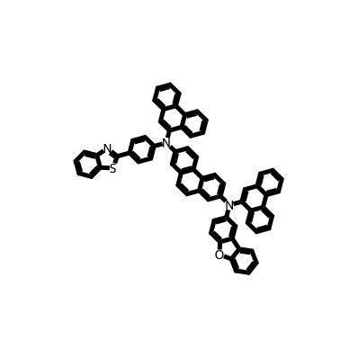 c1ccc2c(c1)cc(N(c1ccc(-c3nc4ccccc4s3)cc1)c1ccc3c(ccc4cc(N(c5ccc6oc7ccccc7c6c5)c5cc6ccccc6c6ccccc56)ccc43)c1)c1ccccc12